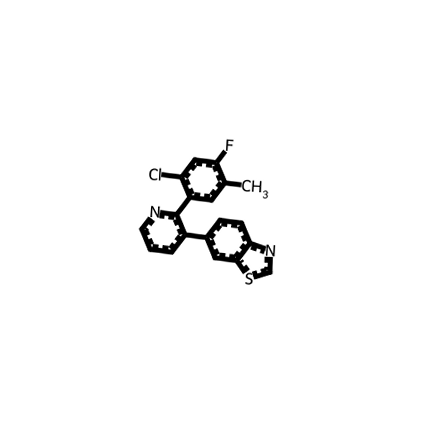 Cc1cc(-c2ncccc2-c2ccc3ncsc3c2)c(Cl)cc1F